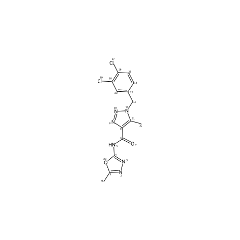 Cc1nnc(NC(=O)c2nnn(Cc3ccc(Cl)c(Cl)c3)c2C)o1